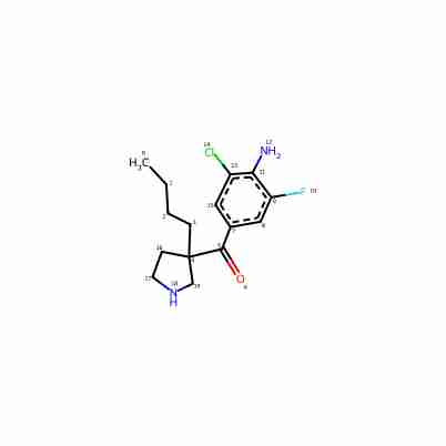 CCCCC1(C(=O)c2cc(F)c(N)c(Cl)c2)CCNC1